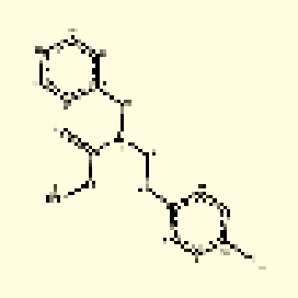 CC(C)(C)OC(=O)N(CCc1ccc(I)cc1)Cc1ccccc1